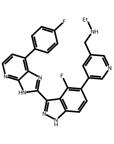 CCNCc1cncc(-c2ccc3[nH]nc(-c4nc5c(-c6ccc(F)cc6)ccnc5[nH]4)c3c2F)c1